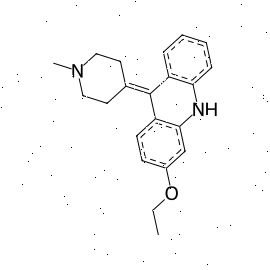 CCOc1ccc2c(c1)Nc1ccccc1C2=C1CCN(C)CC1